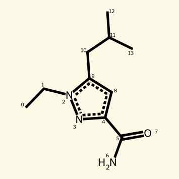 CCn1nc(C(N)=O)cc1CC(C)C